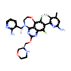 Cc1cc(N)nc(-c2c(Cl)c3c4c(nc(OC[C@@H]5COCCN5)nc4c2F)N([C@H](C)c2cccnc2N)CCO3)c1C(F)(F)F